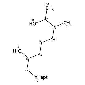 CCCCCCCCC(C)CCCC(C)C(C)O